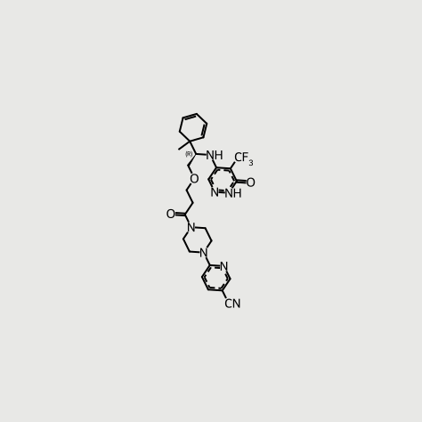 CC1([C@H](COCCC(=O)N2CCN(c3ccc(C#N)cn3)CC2)Nc2cn[nH]c(=O)c2C(F)(F)F)C=CC=CC1